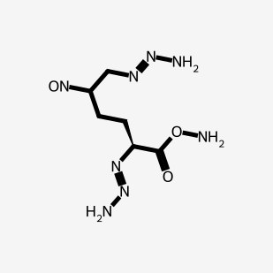 NN=NCC(CC[C@H](N=NN)C(=O)ON)N=O